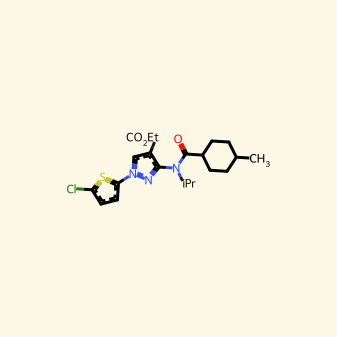 CCOC(=O)c1cn(-c2ccc(Cl)s2)nc1N(C(=O)C1CCC(C)CC1)C(C)C